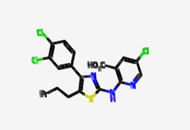 CC(C)CCc1sc(Nc2ncc(Cl)cc2C(=O)O)nc1-c1ccc(Cl)c(Cl)c1